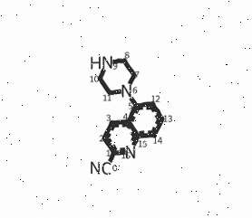 N#Cc1ccc2c(N3CCNCC3)cccc2n1